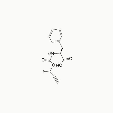 C#CC(I)OC(=O)N[C@@H](Cc1ccccc1)C(=O)O